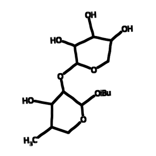 CC(C)COC1OCC(C)C(O)C1OC1OCC(O)C(O)C1O